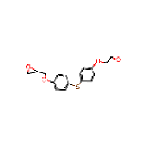 O=CCOc1ccc(Sc2ccc(OCC3CO3)cc2)cc1